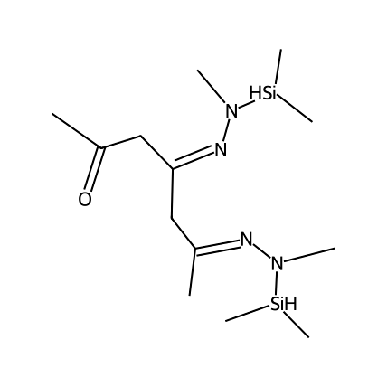 CC(=O)CC(CC(C)=NN(C)[SiH](C)C)=NN(C)[SiH](C)C